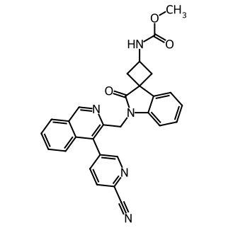 COC(=O)NC1CC2(C1)C(=O)N(Cc1ncc3ccccc3c1-c1ccc(C#N)nc1)c1ccccc12